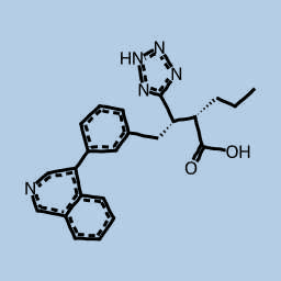 CCC[C@H](C(=O)O)[C@H](Cc1cccc(-c2cncc3ccccc23)c1)c1nn[nH]n1